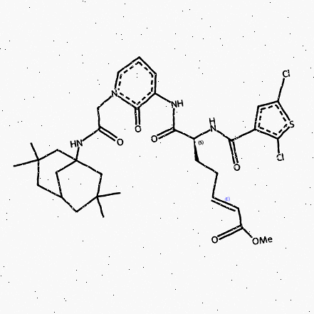 COC(=O)/C=C/CC[C@H](NC(=O)c1cc(Cl)sc1Cl)C(=O)Nc1cccn(CC(=O)NC23CC(CC(C)(C)C2)CC(C)(C)C3)c1=O